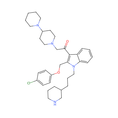 O=C(CN1CCC(N2CCCCC2)CC1)c1c(COc2ccc(Cl)cc2)n(CCCC2CCCNC2)c2ccccc12